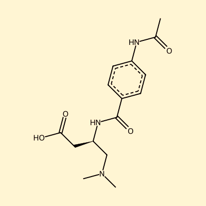 CC(=O)Nc1ccc(C(=O)N[C@H](CC(=O)O)CN(C)C)cc1